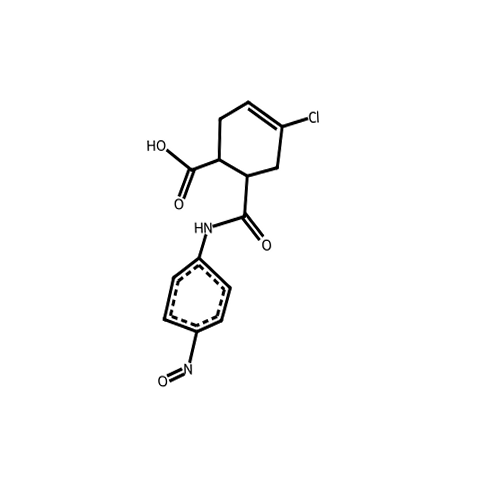 O=Nc1ccc(NC(=O)C2CC(Cl)=CCC2C(=O)O)cc1